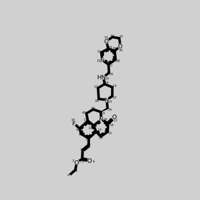 CCOC(=O)/C=C/c1cc(F)c2c3c1ccc(=O)n3[C@H](CN1CCC(NCc3cc4c(cn3)OCCO4)CC1)CC2